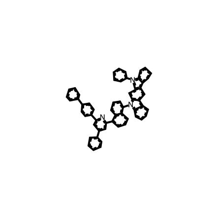 c1ccc(-c2ccc(-c3cc(-c4ccccc4)cc(-c4cccc5c(-n6c7ccccc7c7cc8c9ccccc9n(-c9ccccc9)c8cc76)cccc45)n3)cc2)cc1